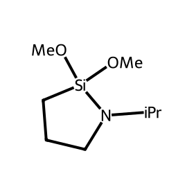 CO[Si]1(OC)CCCN1C(C)C